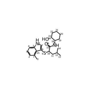 Cc1cccc2[nH]cc(SC(CC(C)C)C(=O)N[C@@H]3CCCC[C@H]3O)c12